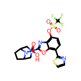 O=C(O)N1C2CCC1CN(c1nc3c(OS(=O)(=O)C(F)(F)F)ccc(-c4nccs4)c3o1)C2